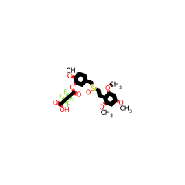 COc1cc(OC)c(C=C[S+]([O-])Cc2ccc(OC)c(OC(=O)C(F)(F)C(F)(F)C(=O)O)c2)c(OC)c1